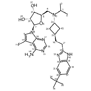 CC(C)N(C[C@H]1O[C@@H](n2cc(F)c3c(N)ncnc32)[C@H](O)[C@@H]1O)[C@H]1C[C@H](CCc2nc3cc(C(C)(C)C)ccc3[nH]2)C1